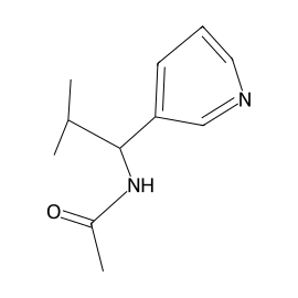 CC(=O)NC(c1cccnc1)C(C)C